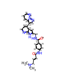 CN(C)CC=CC(=O)Nc1ccc(C(=O)NCc2cc3c(-c4cnn5ncccc45)ccnc3[nH]2)cc1